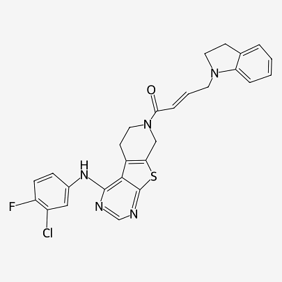 O=C(C=CCN1CCc2ccccc21)N1CCc2c(sc3ncnc(Nc4ccc(F)c(Cl)c4)c23)C1